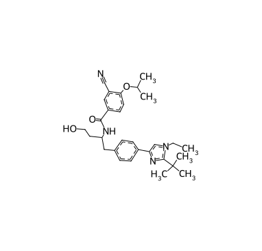 CCn1cc(-c2ccc(CC(CCO)NC(=O)c3ccc(OC(C)C)c(C#N)c3)cc2)nc1C(C)(C)C